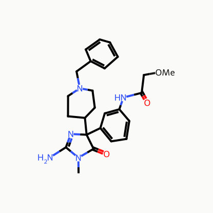 COCC(=O)Nc1cccc(C2(C3CCN(Cc4ccccc4)CC3)N=C(N)N(C)C2=O)c1